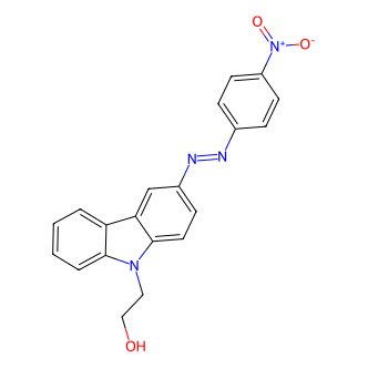 O=[N+]([O-])c1ccc(N=Nc2ccc3c(c2)c2ccccc2n3CCO)cc1